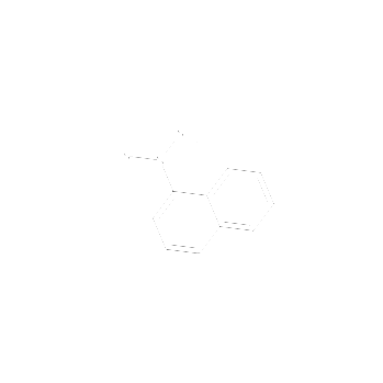 NN(N)c1cccc2ccccc12